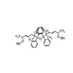 CC(C=CCC(C)(C)[Si](O[Si](c1ccccc1)(c1ccccc1)C(C)(C)CC=CC(C)OC(C)(C)C)(c1ccccc1)c1ccccc1)OC(C)(C)C